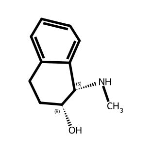 CN[C@H]1c2ccccc2CC[C@H]1O